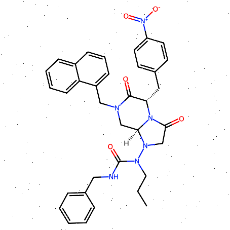 CCCN(C(=O)NCc1ccccc1)N1CC(=O)N2[C@@H](Cc3ccc([N+](=O)[O-])cc3)C(=O)N(Cc3cccc4ccccc34)C[C@@H]21